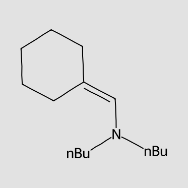 CCCCN(C=C1CCCCC1)CCCC